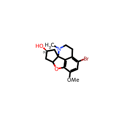 COc1cc(Br)c2c3c1OC1C[C@@H](O)CC31N(C)CC2